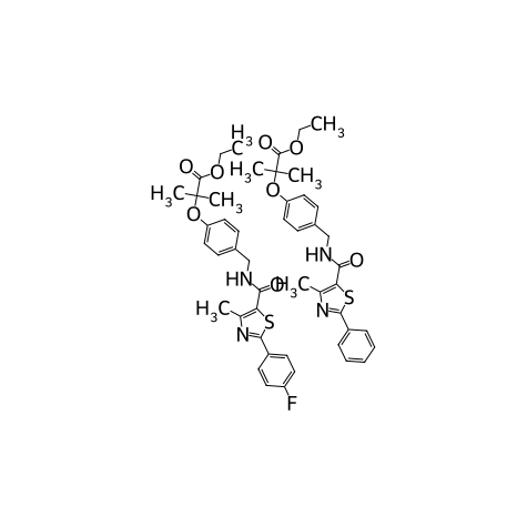 CCOC(=O)C(C)(C)Oc1ccc(CNC(=O)c2sc(-c3ccc(F)cc3)nc2C)cc1.CCOC(=O)C(C)(C)Oc1ccc(CNC(=O)c2sc(-c3ccccc3)nc2C)cc1